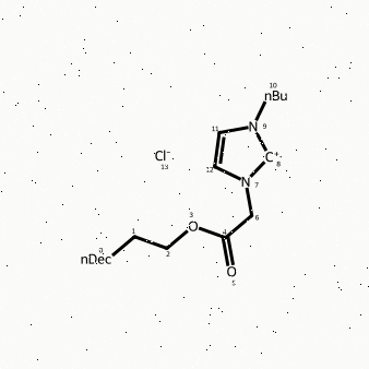 CCCCCCCCCCCCOC(=O)CN1[C+]N(CCCC)C=C1.[Cl-]